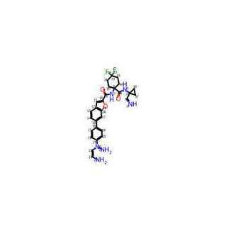 N=CC1(NC(=O)C2(NC(=O)c3cc4ccc(-c5ccc(N(N)/C=C\N)cc5)cc4o3)CCC(F)(F)CC2)CC1